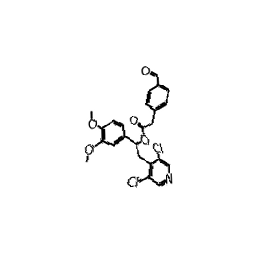 COc1ccc([C@H](Cc2c(Cl)cncc2Cl)OC(=O)Cc2ccc(C=O)cc2)cc1OC